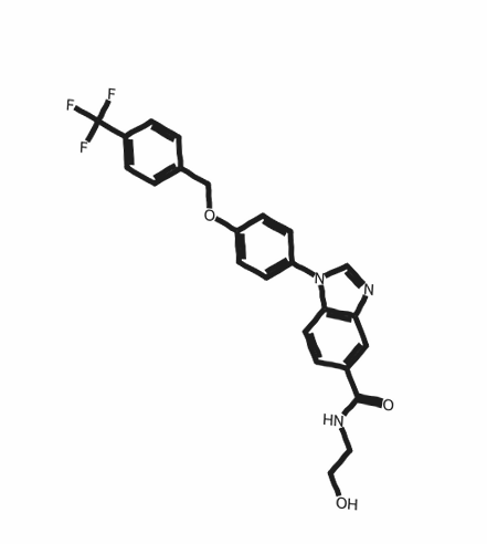 O=C(NCCO)c1ccc2c(c1)ncn2-c1ccc(OCc2ccc(C(F)(F)F)cc2)cc1